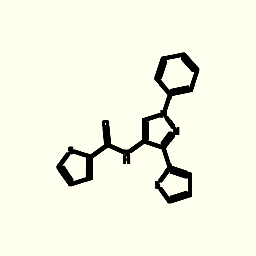 O=C(Nc1cn(-c2ccccc2)nc1-c1cccs1)c1cccs1